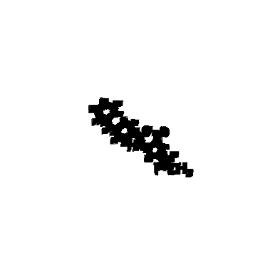 CC(F)(F)C1CC(C=O)N(NC(=O)c2ccc(Cc3ccccc3)cc2)C1